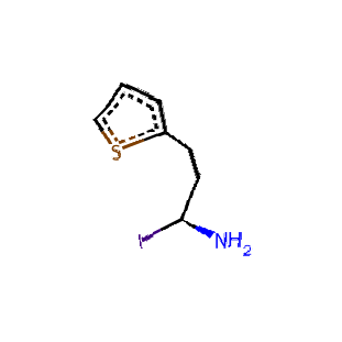 N[C@@H](I)Cc1cccs1